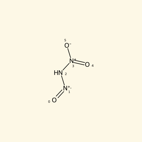 O=[N+]N[N+](=O)[O-]